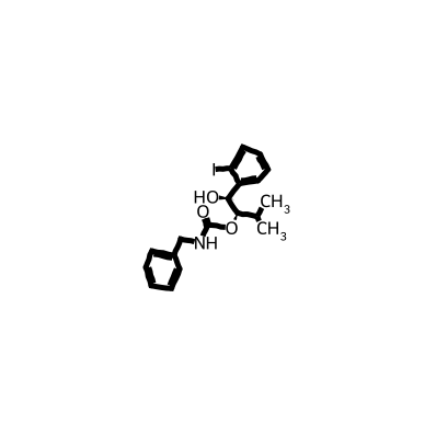 CC(C)[C@H](OC(=O)NCc1ccccc1)[C@@H](O)c1ccccc1I